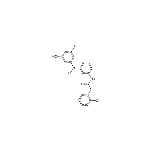 CC(=O)N(c1cc(F)cc(C#N)c1)c1cc(NC(=O)Cc2ccccc2Cl)ccn1